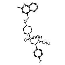 Cc1cc(COC2CCN(S(=O)(=O)CC(c3ccc(F)cc3)N(O)C=O)CC2)c2ccccc2n1